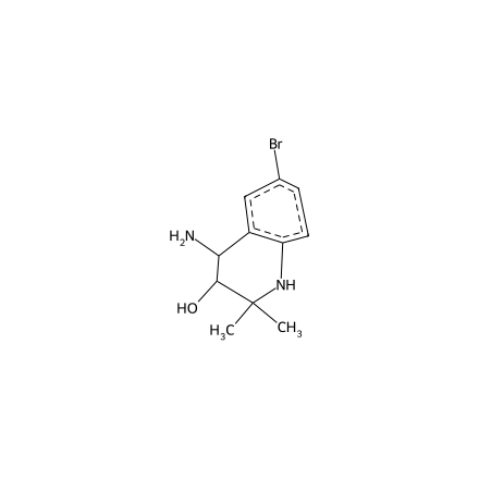 CC1(C)Nc2ccc(Br)cc2C(N)C1O